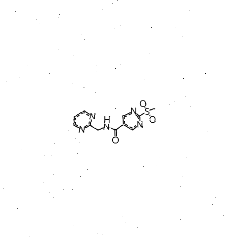 CS(=O)(=O)c1ncc(C(=O)NCc2ncccn2)cn1